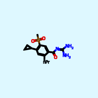 CCCc1cc(C2CC2)c(S(C)(=O)=O)cc1C(=O)N=C(N)N